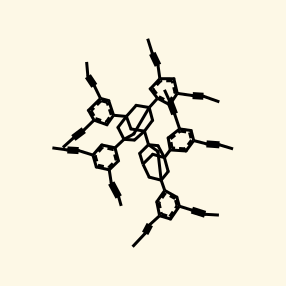 CC#Cc1cc(C#CC)cc(C23CC4CC(c5cc(C#CC)cc(C#CC)c5)(C2)CC(C25CC6(c7cc(C#CC)cc(C#CC)c7)CC(c7cc(C#CC)cc(C#CC)c7)(CC(c7cc(C#CC)cc(C#CC)c7)(C6)C2)C5)(C4)C3)c1